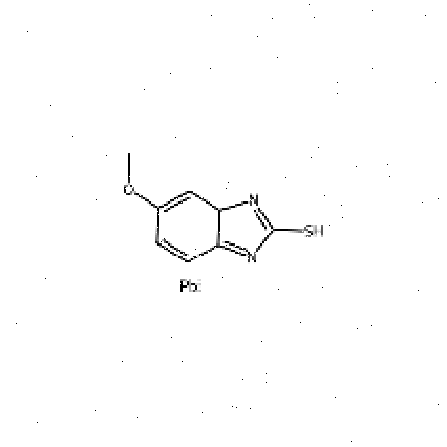 COC1=CC2N=C(S)N=C2C=C1.[Pb]